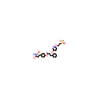 C[C@@H](CCc1ccccc1Oc1ccc(OCCCS(C)(=O)=O)nc1)Oc1ccc(C2CC(=O)N[S+]2[O-])cc1